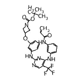 C=CC(=O)Nc1cccc(Nc2nc(Nc3cccc(OC4CN(C(=O)OC(C)(C)C)C4)c3)ncc2C(F)(F)F)c1